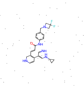 N=C/C(=C\NC1CC1)C1=C(/C=C/C(=O)Nc2ccc(CN3CC(F)(F)C3)cc2)CNC=C1